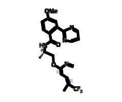 C=N/C(=C\C=C(/C)C(F)(F)F)OC[C@H](C)NC(=O)c1ccc(OC)cc1-c1ncccn1